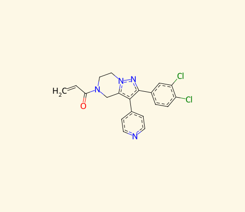 C=CC(=O)N1CCn2nc(-c3ccc(Cl)c(Cl)c3)c(-c3ccncc3)c2C1